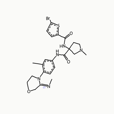 C/N=C1/COCCN1c1ccc(NC(=O)C2(NC(=O)c3ccc(Br)s3)CCN(C)C2)cc1C